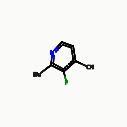 CCC(C)c1nccc(C#N)c1F